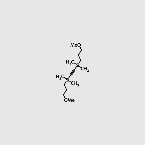 COCCC[Si](C)(C)C#C[Si](C)(C)CCCOC